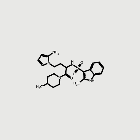 Cc1[nH]c2ccccc2c1S(=O)(=O)NC(CCn1cccc1N)C(=O)N1CCC(C)CC1